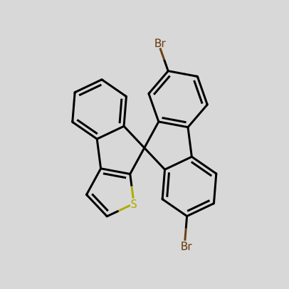 Brc1ccc2c(c1)C1(c3cc(Br)ccc3-2)c2ccccc2-c2ccsc21